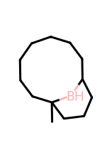 CC12BC(CCCCCCC1)CCC2